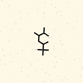 [CH2]C(C)(C)C(C)CC(C)C(C)C